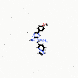 C=Nc1ncc(-c2ccc(OC)cc2)nc1N(N)Cc1ccc2nccn2c1